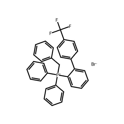 FC(F)(F)c1ccc(-c2ccccc2[P+](Cc2ccccc2)(c2ccccc2)c2ccccc2)cc1.[Br-]